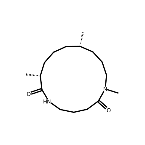 C[C@H]1CCC[C@@H](C)C(=O)NCCCC(=O)N(C)CCC1